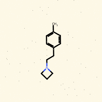 Cc1ccc(CCN2CCC2)cc1